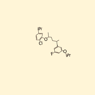 CC(C)Oc1cc(F)cc(C(C)CCC(C)Oc2cc(C(C)C)ccc2Cl)c1